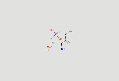 CCOP(O)(O)=S.NCCCN.O.O.O